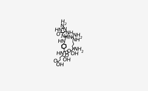 CN1c2c(nc(N)[nH]c2=O)NC[C@@H]1CNc1ccc(C(=O)NC(CCC(=O)O)C(=O)O)cc1.N=C(N)NCCC[C@H](N)C(=O)O